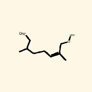 CCCOC/C(C)=C\CCC(C)CC=O